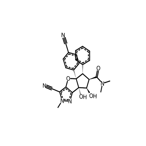 CN(C)C(=O)[C@H]1[C@@H](O)[C@@]2(O)c3nn(C)c(C#N)c3O[C@@]2(c2ccc(C#N)cc2)[C@@H]1c1ccccc1